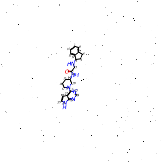 O=C(CNC1CCc2ccccc21)NC1CCCN(c2ncnc3[nH]ccc23)C1